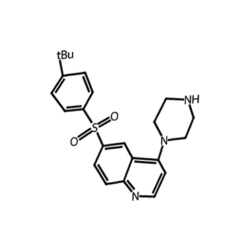 CC(C)(C)c1ccc(S(=O)(=O)c2ccc3nccc(N4CCNCC4)c3c2)cc1